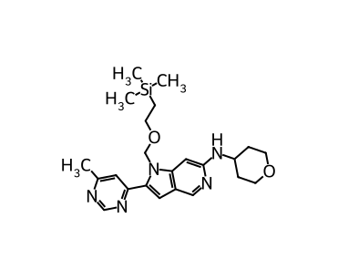 Cc1cc(-c2cc3cnc(NC4CCOCC4)cc3n2COCC[Si](C)(C)C)ncn1